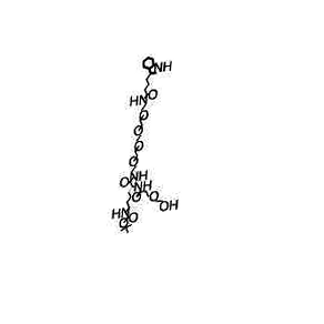 CC(C)(C)OC(=O)NCCCC[C@@H](NC(=O)CCOCCO)C(=O)NCCOCCOCCOCCOCCNC(=O)CCCc1c[nH]c2ccccc12